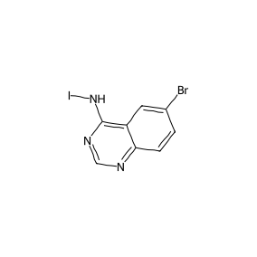 Brc1ccc2ncnc(NI)c2c1